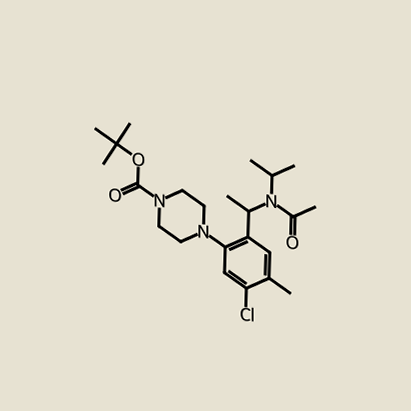 CC(=O)N(C(C)C)C(C)c1cc(C)c(Cl)cc1N1CCN(C(=O)OC(C)(C)C)CC1